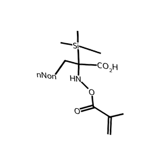 C=C(C)C(=O)ONC(CCCCCCCCCC)(C(=O)O)[Si](C)(C)C